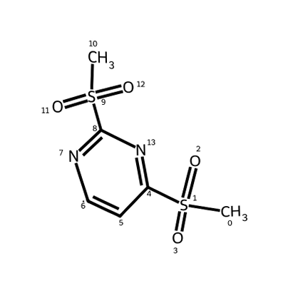 CS(=O)(=O)c1c[c]nc(S(C)(=O)=O)n1